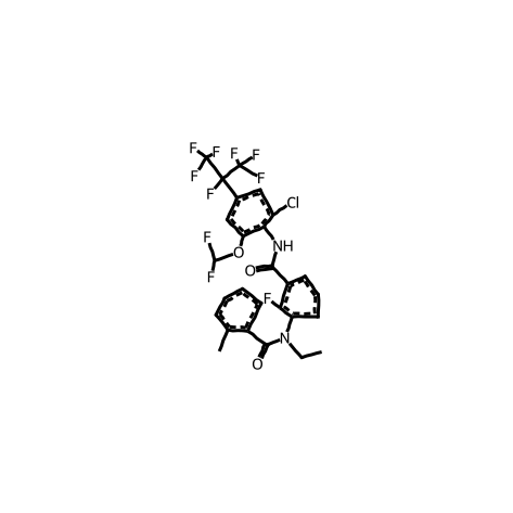 CCN(C(=O)c1ccccc1C)c1cccc(C(=O)Nc2c(Cl)cc(C(F)(C(F)(F)F)C(F)(F)F)cc2OC(F)F)c1F